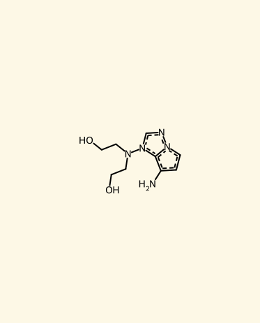 Nc1ccn2ncn(N(CCO)CCO)c12